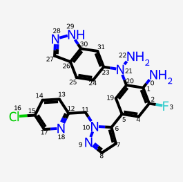 Nc1c(F)cc(-c2ccnn2Cc2ccc(Cl)cn2)cc1N(N)c1ccc2cn[nH]c2c1